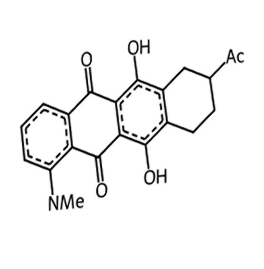 CNc1cccc2c1C(=O)c1c(O)c3c(c(O)c1C2=O)CC(C(C)=O)CC3